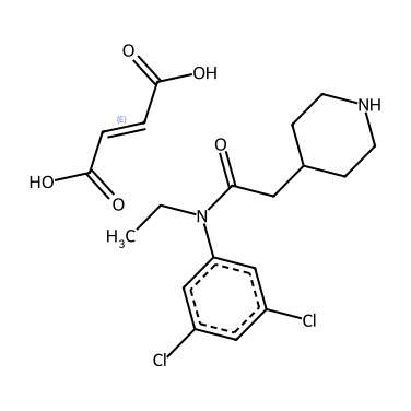 CCN(C(=O)CC1CCNCC1)c1cc(Cl)cc(Cl)c1.O=C(O)/C=C/C(=O)O